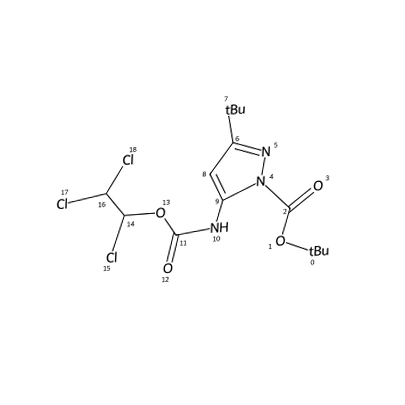 CC(C)(C)OC(=O)n1nc(C(C)(C)C)cc1NC(=O)OC(Cl)C(Cl)Cl